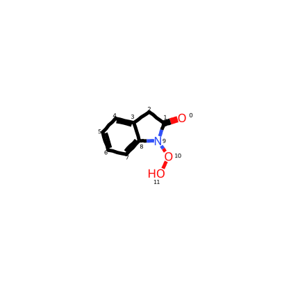 O=C1Cc2ccccc2N1OO